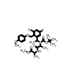 COC(=O)C(C)NC(=O)C(C)N(C(=O)OC(C)(C)C)C(C)c1cc(F)cc(Cl)c1COc1ccc(OC)cc1